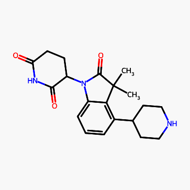 CC1(C)C(=O)N(C2CCC(=O)NC2=O)c2cccc(C3CCNCC3)c21